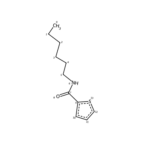 CCCCCCNC(=O)c1cccs1